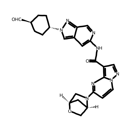 O=C[C@H]1CC[C@H](n2cc3cc(NC(=O)c4cnn5ccc(N6C[C@H]7C[C@@H]6CO7)nc45)ncc3n2)CC1